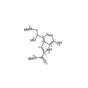 CNCC(O)c1ccc(O)c2[nH]c(C(=O)OC)cc12